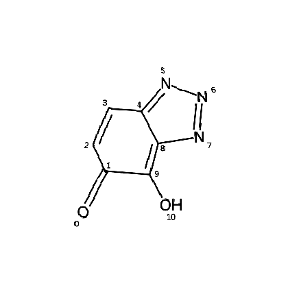 O=C1C=CC2=NN=NC2=C1O